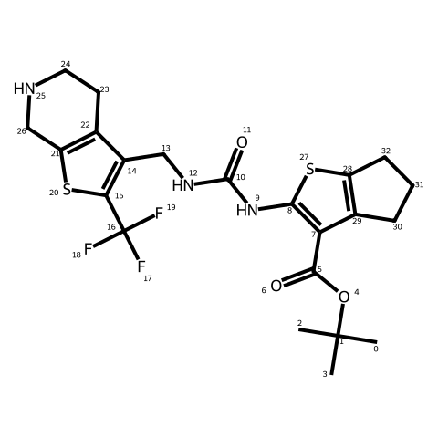 CC(C)(C)OC(=O)c1c(NC(=O)NCc2c(C(F)(F)F)sc3c2CCNC3)sc2c1CCC2